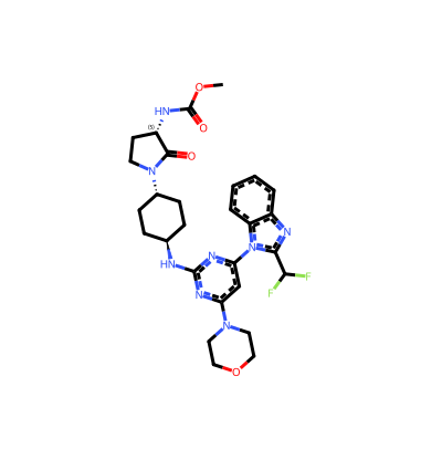 COC(=O)N[C@H]1CCN([C@H]2CC[C@H](Nc3nc(N4CCOCC4)cc(-n4c(C(F)F)nc5ccccc54)n3)CC2)C1=O